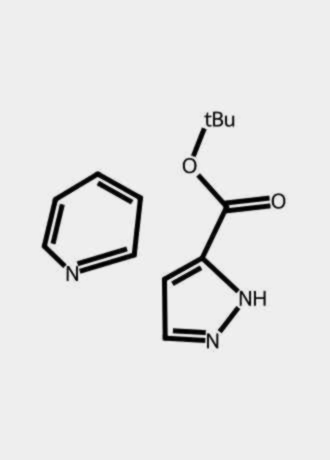 CC(C)(C)OC(=O)c1ccn[nH]1.c1ccncc1